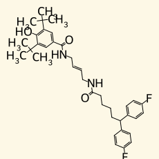 CC(C)(C)c1cc(C(=O)NC/C=C/CNC(=O)CCCCC(c2ccc(F)cc2)c2ccc(F)cc2)cc(C(C)(C)C)c1O